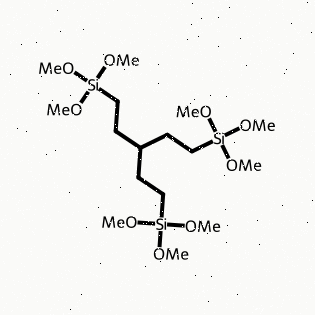 CO[Si](CCC(CC[Si](OC)(OC)OC)CC[Si](OC)(OC)OC)(OC)OC